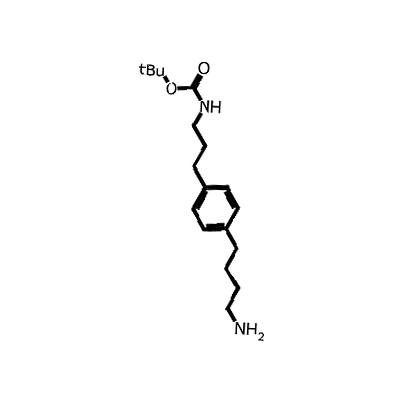 CC(C)(C)OC(=O)NCCCc1ccc(CCCCN)cc1